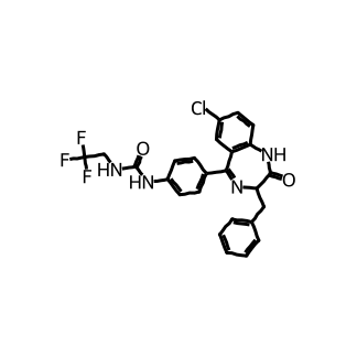 O=C(NCC(F)(F)F)Nc1ccc(C2=NC(Cc3ccccc3)C(=O)Nc3ccc(Cl)cc32)cc1